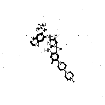 COc1cc(N2CCC(N3CCN(C)CC3)CC2)c(C)cc1Nc1ncc(Br)c(Nc2cc3nccnc3cc2N(C)S(C)(=O)=O)n1